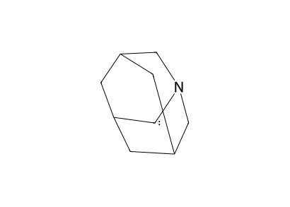 [C]1C2CC3CC(C2)CN1C3